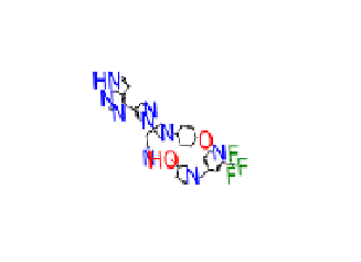 N#CCC1(n2cc(-c3ncnc4[nH]ccc34)cn2)CN(C2CCC(Oc3cc(CN4CCC(O)C4)cc(C(F)(F)F)n3)CC2)C1